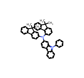 CC1(C)c2ccccc2-c2ccc(N(c3ccc4c5ccccc5n(-c5ccccc5)c4c3)c3cccc4c3-c3ccccc3C4(C)C)cc21